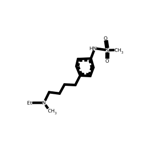 CCN(C)CCCCc1ccc(NS(C)(=O)=O)cc1